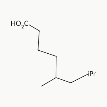 CC(C)CC(C)CCCC(=O)O